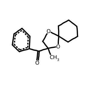 CC1(C(=O)c2ccccc2)COC2(CCCCC2)O1